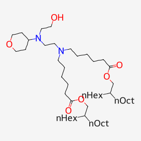 CCCCCCCCC(CCCCCC)COC(=O)CCCCCN(CCCCCC(=O)OCC(CCCCCC)CCCCCCCC)CCN(CCO)C1CCOCC1